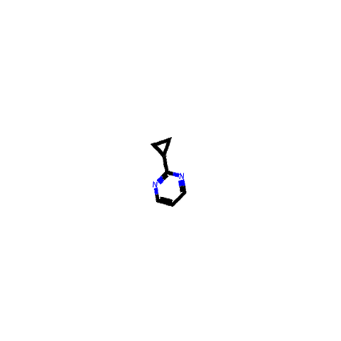 c1cnc([C]2CC2)nc1